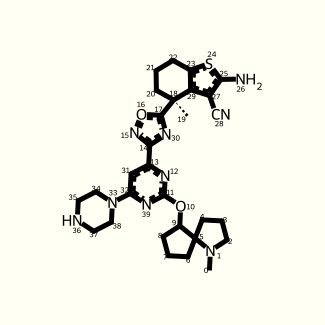 CN1CCCC12CCCC2Oc1nc(-c2noc([C@@]3(C)CCCc4sc(N)c(C#N)c43)n2)cc(N2CCNCC2)n1